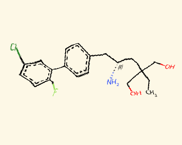 CCC(CO)(CO)C[C@H](N)Cc1ccc(-c2cc(Cl)ccc2F)cc1